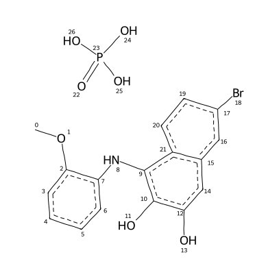 COc1ccccc1Nc1c(O)c(O)cc2cc(Br)ccc12.O=P(O)(O)O